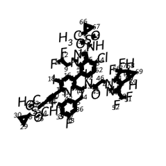 CC1(S(=O)(=O)Nc2nn(CC(F)F)c3c(-c4cc(I)c(C#CC(C)(C)S(=O)(=O)C5CC5)nc4[C@H](Cc4cc(F)cc(F)c4)NC(=O)Cn4nc(C(F)F)c5c4C(F)(F)[C@@H]4C[C@H]54)ccc(Cl)c23)CC1